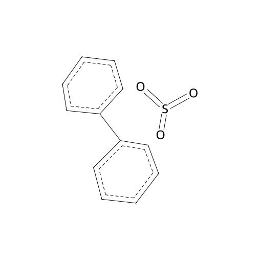 O=S(=O)=O.c1ccc(-c2ccccc2)cc1